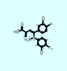 C=C(/C=C(/c1ccc(F)c(Cl)c1)N(N)c1ccc(F)c(Cl)c1)C(=O)O